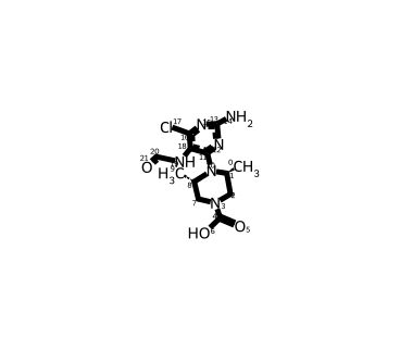 C[C@@H]1CN(C(=O)O)C[C@H](C)N1c1nc(N)nc(Cl)c1NC=O